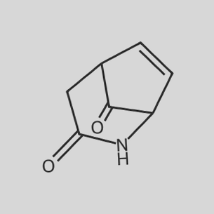 O=C1CC2C=CC(N1)C2=O